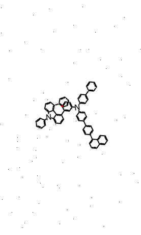 c1ccc(-c2ccc(N(c3ccc(-c4ccc(-c5cccc6ccccc56)cc4)cc3)c3cccc(-c4cccc5c4c4c(-c6ccccc6)cccc4n5-c4ccccc4)c3)cc2)cc1